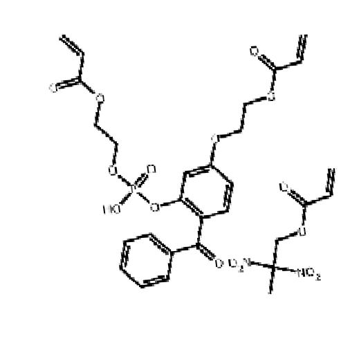 C=CC(=O)OCC(C)([N+](=O)[O-])[N+](=O)[O-].C=CC(=O)OCCOc1ccc(C(=O)c2ccccc2)c(OP(=O)(O)OCCOC(=O)C=C)c1